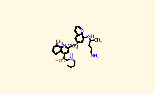 COc1cc(NC(C)CCCN)c2ncccc2c1.O[C@@H](c1cc(C(F)(F)F)nc2c(C(F)(F)F)cccc12)[C@H]1CCCCN1